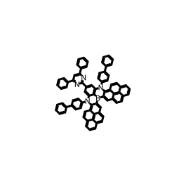 c1ccc(-c2ccc(N3c4cc(-c5nc(-c6ccccc6)cc(-c6ccccc6)n5)cc5c4B(c4cc6ccc7cccc8ccc(c43)c6c78)c3cc4ccc6cccc7ccc(c3N5c3ccc(-c5ccccc5)cc3)c4c67)cc2)cc1